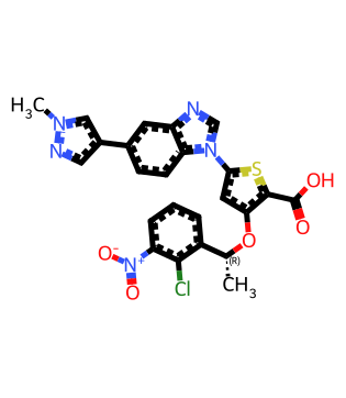 C[C@@H](Oc1cc(-n2cnc3cc(-c4cnn(C)c4)ccc32)sc1C(=O)O)c1cccc([N+](=O)[O-])c1Cl